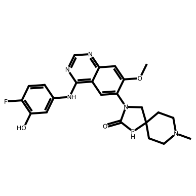 COc1cc2ncnc(Nc3ccc(F)c(O)c3)c2cc1N1CC2(CCN(C)CC2)PC1=O